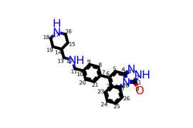 O=c1[nH]nc2cc(-c3ccc(CNCC4CCNCC4)cc3)c3ccccc3n12